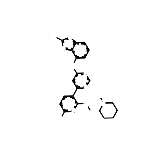 CC(=O)Nc1nc2c(Oc3cc(-c4ccc(C(F)(F)F)nc4NC[C@H]4CCCCN4C(C)C)ncn3)cccc2s1